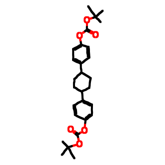 CC(C)(C)OC(=O)Oc1ccc(C2CCC(c3ccc(OC(=O)OC(C)(C)C)cc3)CC2)cc1